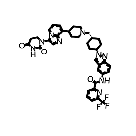 O=C1CCN(c2cnc3c(C4CCN(C[C@H]5CC[C@H](n6cc7cc(NC(=O)c8cccc(C(F)(F)F)n8)ccc7n6)CC5)CC4)cccn23)C(=O)N1